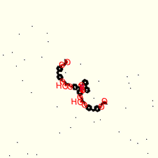 CC(c1ccc(OCC(O)COc2ccc(Cc3ccc(OCC4CO4)cc3)cc2)cc1)(c1ccc(OCC(O)COc2ccc(Cc3ccc(OCC4CO4)cc3)cc2)cc1)P1(=O)Oc2ccccc2-c2ccccc21